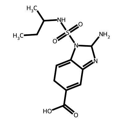 CCC(C)NS(=O)(=O)N1C2=CCC(C(=O)O)=CC2=NC1N